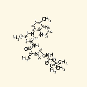 Cc1ccc(N2C[C@@H](C)C[C@@H](NC(=O)C(C)N3CC(NC(=O)OC(C)(C)C)C3)C2)c2nccnc12